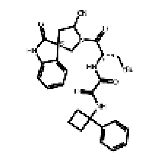 CC(C)(C)C[C@H](NC(=O)C(=O)NC1(c2ccccc2)CCC1)C(=O)N1C[C@]2(CC1C#N)C(=O)Nc1ccccc12